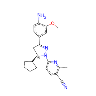 COc1cc(C2=NN(c3ccc(C#N)c(C)n3)[C@@H](C3CCCC3)C2)ccc1N